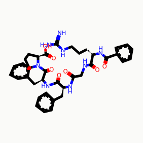 N=C(N)NCCC[C@H](NC(=O)c1ccccc1)C(=O)NCC(=O)N[C@@H](Cc1ccccc1)C(=O)N[C@@H](Cc1ccccc1)C(=O)N1CCC[C@H]1C(=O)O